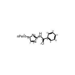 CCCCCn1cnc(NC(=O)c2ccccc2)n1